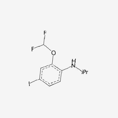 CC(C)Nc1ccc(I)cc1OC(F)F